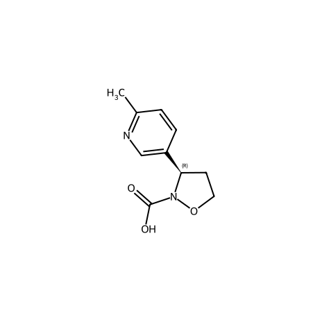 Cc1ccc([C@H]2CCON2C(=O)O)cn1